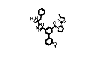 COc1cccc(-c2cc(C(=O)N3CCC[C@@H]3c3nc(C)cs3)cc(-c3nnc(C(C)(N)Cc4ccccc4)o3)c2)c1